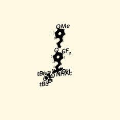 COc1ccc(CCCOc2ccc(CCC(CO)(COP(=O)(OC(C)(C)C)OC(C)(C)C)NC(C)=O)cc2C(F)(F)F)cc1